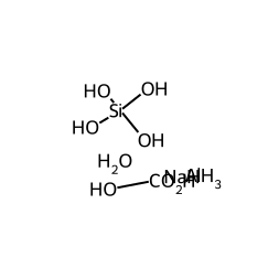 O.O=C(O)O.O[Si](O)(O)O.[AlH3].[NaH]